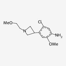 COCCN1CC(c2cc(OC)c(N)cc2Cl)C1